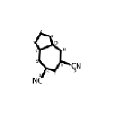 N#CC1CC(C#N)CC2CCCC2C1